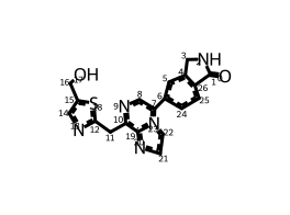 O=C1NCc2cc(-c3cnc(Cc4ncc(CO)s4)c4nccn34)ccc21